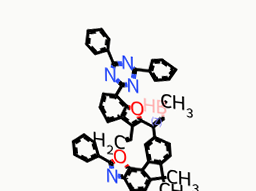 C=Cc1c(/C(=C\BC)c2ccc3c(c2)-c2c(ccc4nc(-c5ccccc5)oc24)C3(C)C)oc2c(-c3nc(-c4ccccc4)nc(-c4ccccc4)n3)cccc12